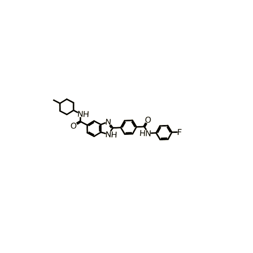 CC1CCC(NC(=O)c2ccc3[nH]c(-c4ccc(C(=O)Nc5ccc(F)cc5)cc4)nc3c2)CC1